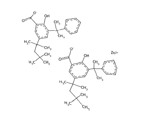 CC(C)(C)CC(C)(C)c1cc(C(=O)[O-])c(O)c(C(C)(C)c2ccccc2)c1.CC(C)(C)CC(C)(C)c1cc(C(=O)[O-])c(O)c(C(C)(C)c2ccccc2)c1.[Zn+2]